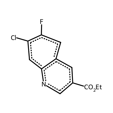 CCOC(=O)c1cnc2cc(Cl)c(F)cc2c1